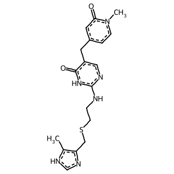 Cc1[nH]cnc1CSCCNc1ncc(Cc2ccn(C)c(=O)c2)c(=O)[nH]1